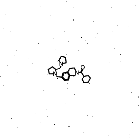 O=C(C1CCCCC1)N1CCc2cc(CN3CCC[C@H]3CN3CCCC3)ccc2C1